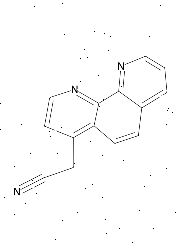 N#CCc1ccnc2c1ccc1cccnc12